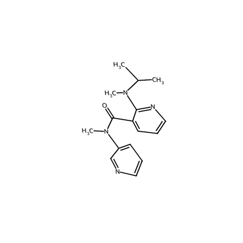 CC(C)N(C)c1ncccc1C(=O)N(C)c1cccnc1